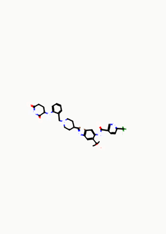 CC(C)(O)c1cc2nc(C3CCN(Cc4ccccc4NC4CCC(=O)NC4=O)CC3)sc2cc1NC(=O)c1ccc(C(F)(F)F)nc1